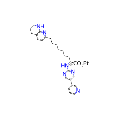 CCOC(=O)[C@H](CCCCCCCc1ccc2c(n1)NCCC2)Nc1ncc(-c2cccnc2)cn1